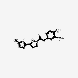 COc1cc(CC(=O)N2CCC(c3ccc(Cl)s3)=N2)ccc1O